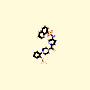 COc1ccccc1N1CCN(C(=O)c2ccc(NS(=O)(=O)c3cccc4cccnc34)cn2)CC1